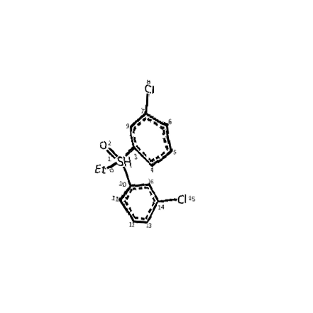 CC[SH](=O)(c1cccc(Cl)c1)c1cccc(Cl)c1